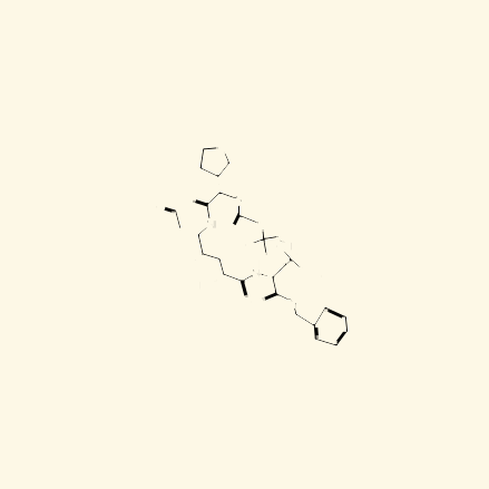 C=CC[C@H](NC(=O)C(NC(=O)OC(C)(C)C)[C@@H]1CCOC1)[C@@H](O)C[C@@H](C)C(=O)N[C@H](C(=O)NCc1ccccc1)C(C)C